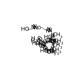 CO[C@]1(C)C[C@H](O[C@H]2[C@H](C)[C@@H](O[C@@H]3O[C@H](C)C[C@H](N(C)CCc4cn(CCCCc5ccc(-n6cc(CCCO)nn6)cc5)nn4)[C@H]3O)[C@](C)(O)C[C@@H](C)CN(C)[C@H](C)[C@@H](O)[C@](C)(O)[C@@H](I)OC(=O)[C@@H]2C)O[C@@H](C)[C@@H]1O